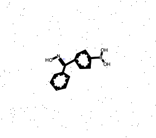 O/N=C(\c1ccccc1)c1ccc(B(O)O)cc1